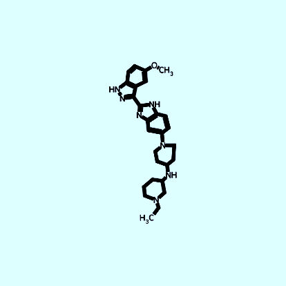 CCN1CCCC(NC2CCN(c3ccc4[nH]c(-c5n[nH]c6ccc(OC)cc56)nc4c3)CC2)C1